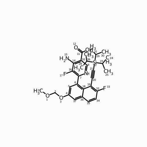 COCOc1cc(-c2ncc(C(=O)O)c(N)c2F)c2c(C#C[Si](C(C)C)(C(C)C)C(C)C)c(F)ccc2c1